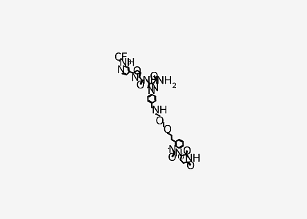 Cn1c(=O)n([C@H]2CCC(=O)NC2=O)c2cccc(CCCOCCOCCNCc3ccc(-n4cc(NC(=O)c5coc(-c6ccnc(NCC(F)(F)F)c6)n5)c(C(N)=O)n4)cc3)c21